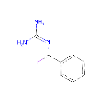 NC(N)=NC(I)c1ccccc1